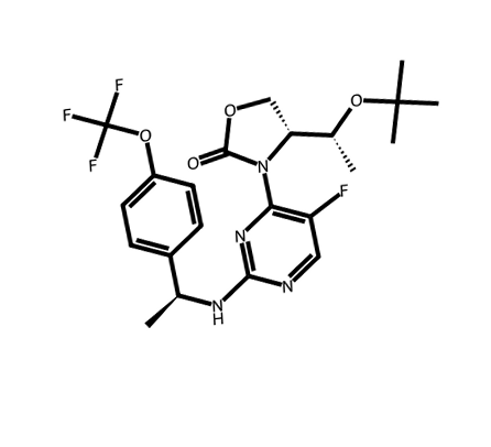 C[C@H](Nc1ncc(F)c(N2C(=O)OC[C@@H]2[C@@H](C)OC(C)(C)C)n1)c1ccc(OC(F)(F)F)cc1